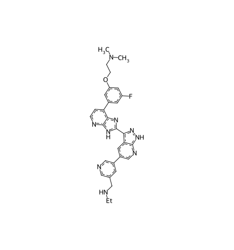 CCNCc1cncc(-c2cnc3[nH]nc(-c4nc5c(-c6cc(F)cc(OCCN(C)C)c6)ccnc5[nH]4)c3c2)c1